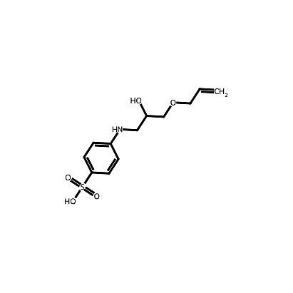 C=CCOCC(O)CNc1ccc(S(=O)(=O)O)cc1